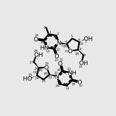 Cc1cn([C@H]2C[C@H](O)[C@@H](CO)O2)c(=O)[nH]c1=O.O=c1ccn([C@H]2C[C@H](O)[C@@H](CO)O2)c(=O)[nH]1